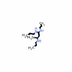 C=CCNC(=CC([SiH3])NCC=C)NCC=C